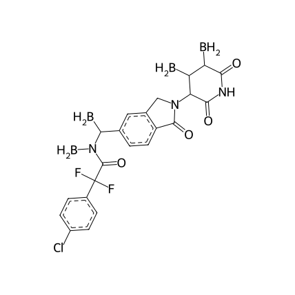 BC1C(=O)NC(=O)C(N2Cc3cc(C(B)N(B)C(=O)C(F)(F)c4ccc(Cl)cc4)ccc3C2=O)C1B